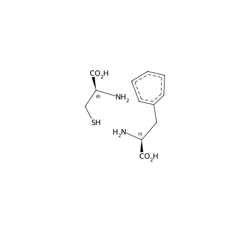 N[C@@H](CS)C(=O)O.N[C@@H](Cc1ccccc1)C(=O)O